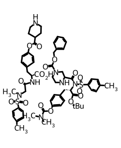 Cc1ccc(S(=O)(=O)N(C(=O)C2CN(C(=O)OCc3ccccc3)CCN2)[C@@H](Cc2ccc(OC(=O)N(C)C)cc2)C(=O)OC(C)(C)C)cc1.Cc1ccc(S(=O)(=O)N(C)CC(=O)N[C@@H](Cc2ccc(OC(=O)C3CCNCC3)cc2)C(=O)O)cc1